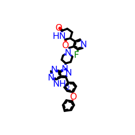 Nc1ncnc2c1c(-c1ccc(Oc3ccccc3)cc1)nn2C1CCN(Cc2c(F)cncc2C2CCC(=O)NC2=O)CC1